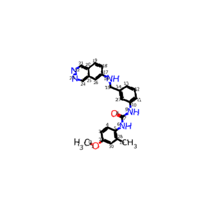 COc1ccc(NC(=O)Nc2cccc(CNc3ccc4cnncc4c3)c2)c(C)c1